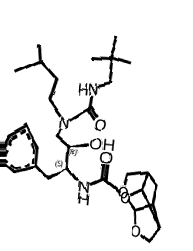 CC(C)CCN(C[C@@H](O)[C@H](Cc1ccccc1)NC(=O)OC1C2COC3OCC1C3C2)C(=O)NCC(C)(C)C